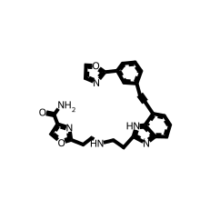 NC(=O)c1coc(CCNCCc2nc3cccc(C#Cc4cccc(-c5ncco5)c4)c3[nH]2)n1